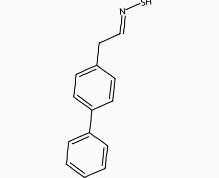 S/N=C/Cc1ccc(-c2ccccc2)cc1